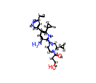 C=Cc1cc(-c2cc(N)c(N3CCN(C(=O)CCO)[C@H](C4CC4)C3)nc2C2CC2)cnn1